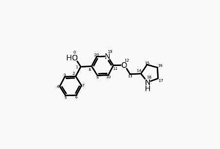 OC(c1ccccc1)c1ccc(OCC2CCCN2)nc1